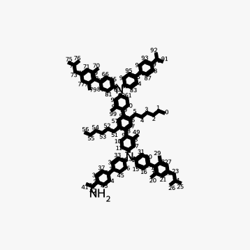 CCCCCCc1cc(C2CCC(N(c3ccc(-c4c(C)cc(CC(C)C)cc4C)cc3)C3C=CC(C4C=CC(C(C)N)CC4)CC3)C=C2C)c(CCCCCC)cc1C1CCC(N(C2=CC=C(C3=C(C)C=C(CC(C)C)CC3C)CC2)C2C=CC(C3C=CC(C(C)C)=CC3)=CC2)C=C1C